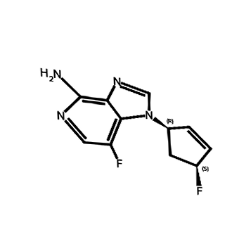 Nc1ncc(F)c2c1ncn2[C@H]1C=C[C@@H](F)C1